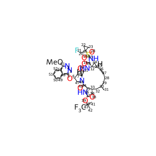 COc1nnc(O[C@@H]2C[C@H]3C(=O)N[C@]4(C(=O)NS(=O)(=O)C5(CF)CC5)C[C@H]4/C=C\CC[C@@H](C)C[C@@H](C)[C@H](NC(=O)OC(C)(C)C(F)(F)F)C(=O)N3C2)c2ccccc12